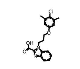 Cc1cc(OCCCn2c(C(=O)O)nc3ccccc32)cc(C)c1Cl